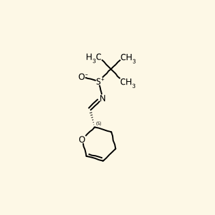 CC(C)(C)[S+]([O-])N=C[C@@H]1CCC=CO1